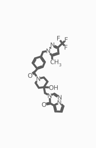 Cc1cc(C(F)(F)F)nn1Cc1ccc(C(=O)N2CCC(O)(Cn3cnn4cccc4c3=O)CC2)cc1